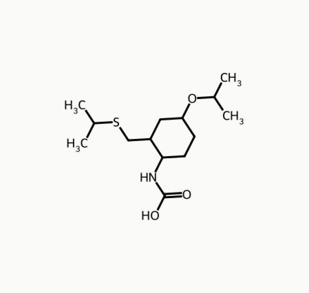 CC(C)OC1CCC(NC(=O)O)C(CSC(C)C)C1